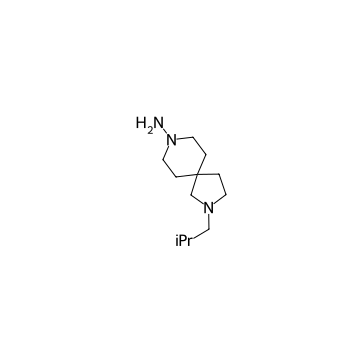 CC(C)CN1CCC2(CCN(N)CC2)C1